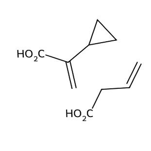 C=C(C(=O)O)C1CC1.C=CCC(=O)O